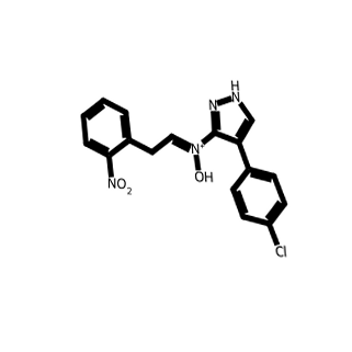 O=[N+]([O-])c1ccccc1CC=[N+](O)c1n[nH]cc1-c1ccc(Cl)cc1